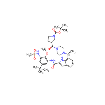 COc1c(NC(=O)c2cc3cccc([C@H](C)N4CCN(C(=O)C5CCN(C(=O)OC(C)(C)C)C5)CC4)c3[nH]2)cc(C(C)(C)C)cc1NS(C)(=O)=O